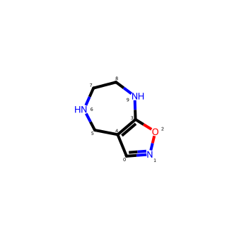 c1noc2c1CNCCN2